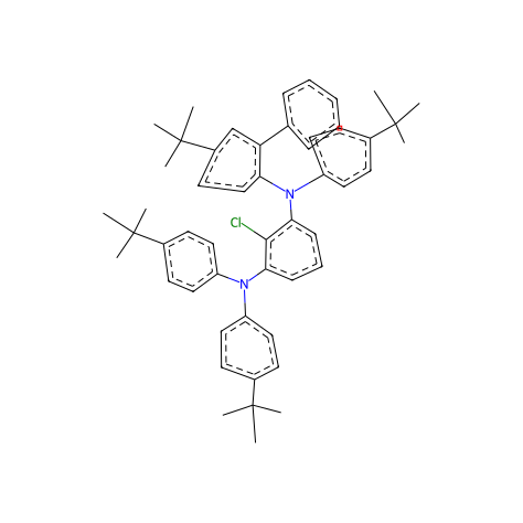 CC(C)(C)c1ccc(N(c2ccc(C(C)(C)C)cc2)c2cccc(N(c3ccc(C(C)(C)C)cc3)c3ccc(C(C)(C)C)cc3-c3ccccc3)c2Cl)cc1